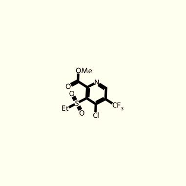 CCS(=O)(=O)c1c(C(=O)OC)ncc(C(F)(F)F)c1Cl